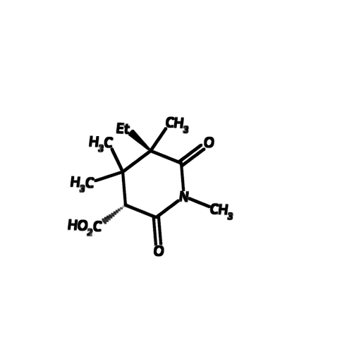 CC[C@@]1(C)C(=O)N(C)C(=O)[C@H](C(=O)O)C1(C)C